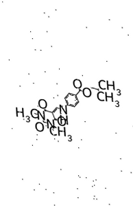 CC(C)COC(=O)c1ccc(NC=C2C(=O)N(C)C(=O)N(C)C2=O)cc1